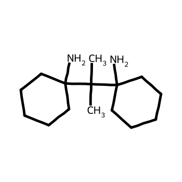 CC(C)(C1(N)CCCCC1)C1(N)CCCCC1